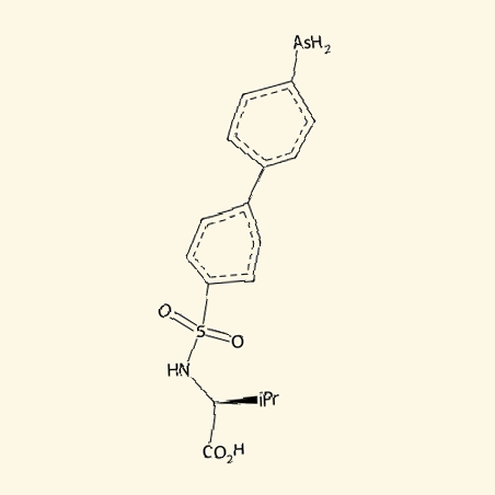 CC(C)[C@H](NS(=O)(=O)c1ccc(-c2ccc([AsH2])cc2)cc1)C(=O)O